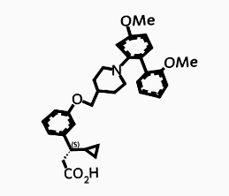 COc1ccc(-c2ccccc2OC)c(N2CCC(COc3cccc([C@@H](CC(=O)O)C4CC4)c3)CC2)c1